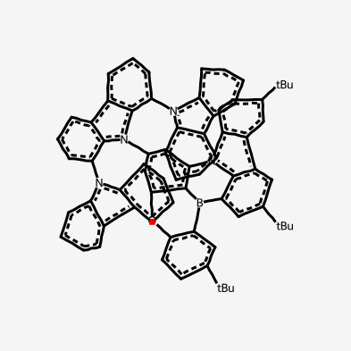 CC(C)(C)c1ccc2c(c1)B1c3c(cc(-n4c5c(-n6c7ccccc7c7ccccc76)cccc5c5cccc(-n6c7ccccc7c7ccccc76)c54)cc3-n3c4ccc(C(C)(C)C)cc4c4cc(C(C)(C)C)cc1c43)O2